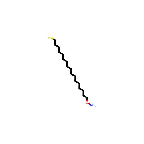 NOCCCCCCCCCCCCCCCCCS